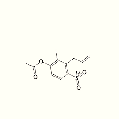 C=CCc1c([SH](=O)=O)ccc(OC(C)=O)c1C